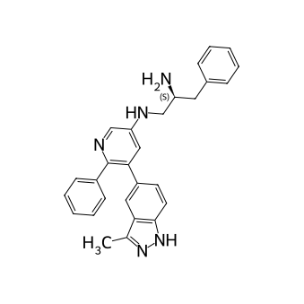 Cc1n[nH]c2ccc(-c3cc(NC[C@@H](N)Cc4ccccc4)cnc3-c3ccccc3)cc12